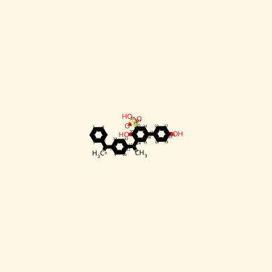 CC(c1ccccc1)c1ccc(C(C)c2cc(-c3ccc(O)cc3)cc(S(=O)(=O)O)c2O)cc1